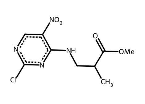 COC(=O)C(C)CNc1nc(Cl)ncc1[N+](=O)[O-]